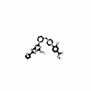 COC(=O)c1ccc(N2CCN(C[C@@H]3CCCN(c4nc(N)n5nc(-c6ccco6)nc5n4)C3)CC2)c(Cl)c1